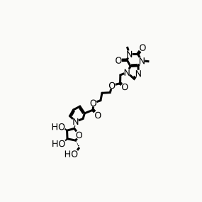 Cn1c(=O)c2c(ncn2CC(=O)OCCCOC(=O)C2=CC=CN([C@@H]3O[C@H](CO)[C@@H](O)[C@H]3O)C2)n(C)c1=O